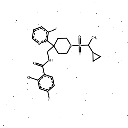 CC(C1CC1)S(=O)(=O)N1CCC(CNC(=O)c2ccc(Cl)cc2Cl)(c2ncccc2F)CC1